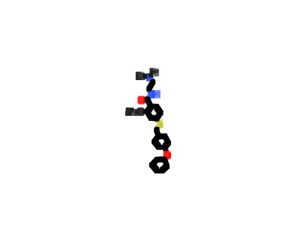 CCN(CC)CCNC(=O)c1ccc(SCc2ccc(Oc3ccccc3)cc2)cc1OC